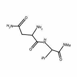 CNC(=O)C(NC(=O)C(N)CC(N)=O)C(C)C